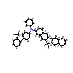 CC1(C)c2ccccc2-c2ccc(N(c3ccccc3)c3ccc4cc5c(cc4c3)C(C)(C)c3cc4ccccc4cc3-5)cc21